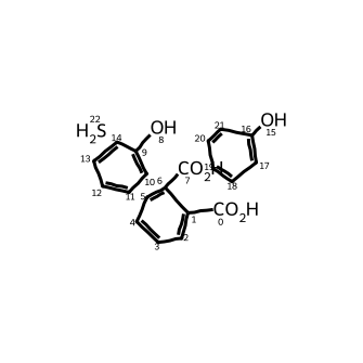 O=C(O)c1ccccc1C(=O)O.Oc1ccccc1.Oc1ccccc1.S